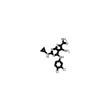 NC(=O)c1sc2nc(NC3CC3)nc(Nc3ccc(Cl)c(Cl)c3)c2c1N